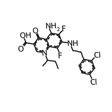 CCC(C)n1cc(C(=O)O)c(=O)c2c(N)c(F)c(NCCc3ccc(Cl)cc3Cl)c(F)c21